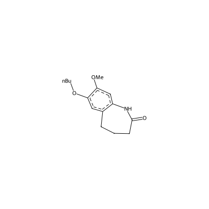 CCCCOc1cc2c(cc1OC)NC(=O)CCC2